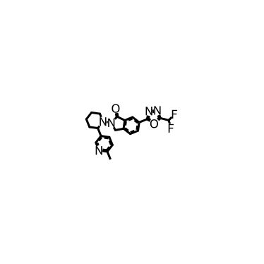 Cc1ccc(C2CCCCN2N2Cc3ccc(-c4nnc(C(F)F)o4)cc3C2=O)cn1